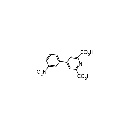 O=C(O)c1cc(-c2cccc([N+](=O)[O-])c2)cc(C(=O)O)n1